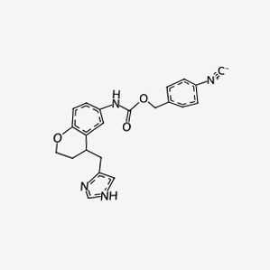 [C-]#[N+]c1ccc(COC(=O)Nc2ccc3c(c2)C(Cc2c[nH]cn2)CCO3)cc1